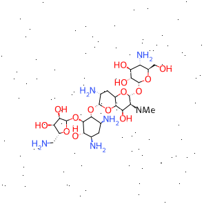 CN[C@@H]1[C@@H](O[C@H]2O[C@H](CO)[C@@H](N)[C@H](O)[C@H]2O)OC2C[C@@H](N)[C@@H](O[C@H]3[C@H](OC4O[C@H](CN)[C@@H](O)[C@H]4O)[C@@H](O)[C@H](N)C[C@@H]3N)OC2[C@@H]1O